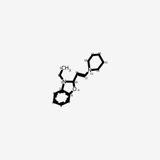 CCN1c2ccccc2OC1/C=C/N1CCCCC1